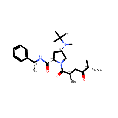 CC[C@@H](NC(=O)[C@@H]1C[C@H](N(C)C(C)(C)CC)CN1C(=O)[C@@H](CC(=O)[C@H](C)NC)C(C)(C)C)c1ccccc1